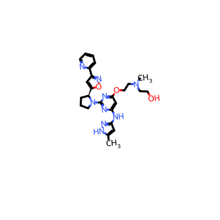 Cc1cc(Nc2cc(OCCN(C)CCO)nc(N3CCC[C@H]3c3cc(-c4ccccn4)no3)n2)n[nH]1